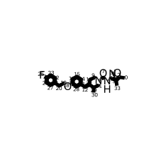 Cc1onc(NC(=O)N2CC/C(=C\c3cccc(OCCc4ccc(F)cc4)c3)C(C)C2)c1C